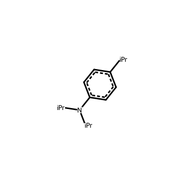 CC(C)c1ccc(N(C(C)C)C(C)C)cc1